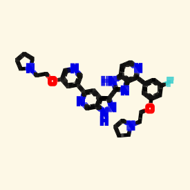 Fc1cc(OCCN2CCCC2)cc(-c2nccc3[nH]c(-c4n[nH]c5cnc(-c6cncc(OCCN7CCCC7)c6)cc45)nc23)c1